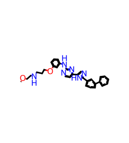 COCCNCCCOc1cccc(Nc2nccc(-c3cnc(-c4cccc(-c5ccccc5)c4)[nH]3)n2)c1